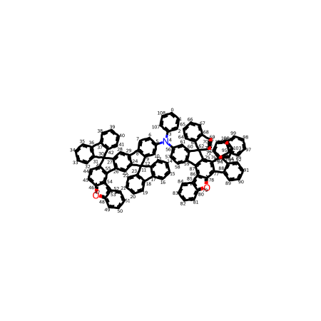 c1ccc(N(c2ccc3c(c2)C2(c4ccccc4-c4ccccc42)c2cc4c(cc2-3)C2(c3ccccc3-c3ccccc32)c2ccc3oc5ccccc5c3c2-4)c2ccc3c(c2)C2(c4ccccc4-c4ccccc42)c2c4c(c5oc6ccccc6c5c2-3)-c2ccccc2C42c3ccccc3-c3ccccc32)cc1